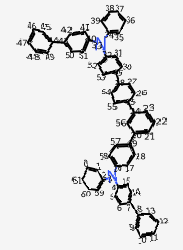 C1=CC(N(c2ccc(-c3ccccc3)cc2)c2ccc(-c3cccc(-c4ccc(-c5ccc(N(c6ccccc6)c6ccc(-c7ccccc7)cc6)cc5)cc4)c3)cc2)=CCC1